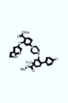 COC(=O)c1ccc(N2CCN(CC3=C(c4ccc(Cl)cc4)CCC(C)(C(=O)OC(C)(C)C)C3)CC2)cc1Oc1cnc2[nH]ccc2c1